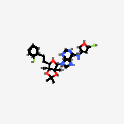 CC1(C)O[C@@H]2[C@H](O1)[C@@H](C=Cc1ccccc1F)O[C@H]2n1cnc2c(NC3COC(F)C3)ncnc21